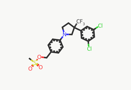 CS(=O)(=O)OCc1ccc(N2CCC(c3cc(Cl)cc(Cl)c3)(C(F)(F)F)C2)cc1